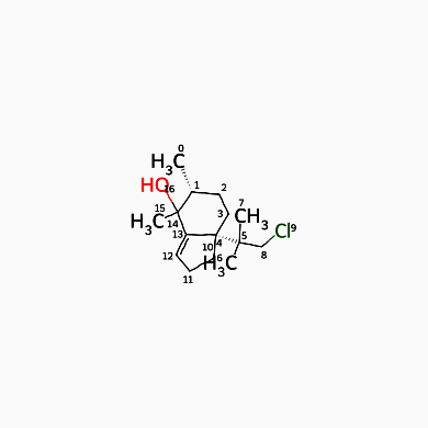 C[C@@H]1CC[C@@]2(C(C)(C)CCl)CCC=C2C1(C)O